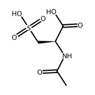 CC(=O)N[C@@H](CS(=O)(=O)O)C(=O)O